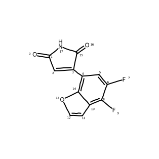 O=C1C=C(c2cc(F)c(F)c3ccoc23)C(=O)N1